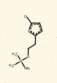 CCCC[Si](C)(C)OCCc1ccc(Cl)s1